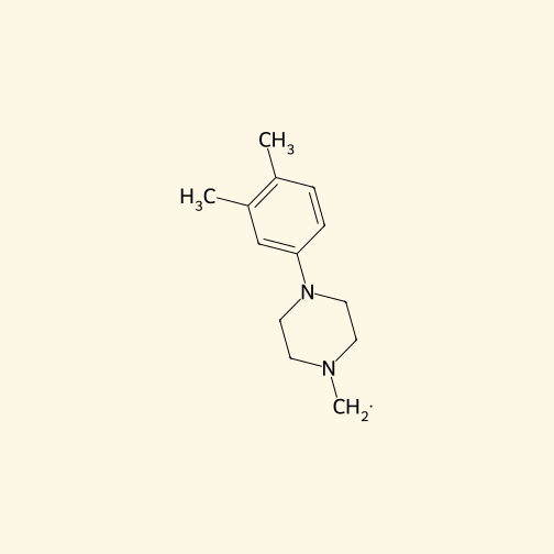 [CH2]N1CCN(c2ccc(C)c(C)c2)CC1